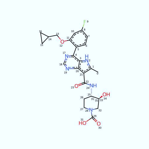 Cc1[nH]c2c(-c3ccc(F)cc3OCC3CC3)ncnc2c1C(=O)N[C@H]1CCN(C(=O)O)C[C@@H]1O